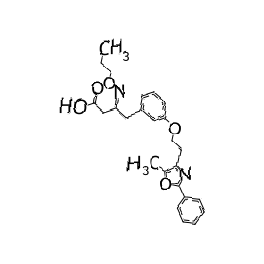 CCCON=C(CC(=O)O)Cc1cccc(OCCc2nc(-c3ccccc3)oc2C)c1